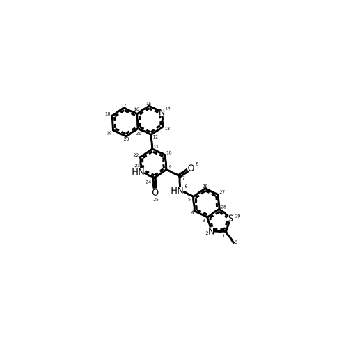 Cc1nc2cc(NC(=O)c3cc(-c4cncc5ccccc45)c[nH]c3=O)ccc2s1